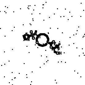 CN([C@@H]1CCCCN(C(=O)O[C@H](CO)C(F)(F)F)CCCOC1)S(=O)(=O)c1nccs1